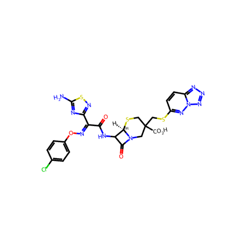 Nc1nc(C(=NOc2ccc(Cl)cc2)C(=O)NC2C(=O)N3CC(CSc4ccc5nnnn5n4)(C(=O)O)CS[C@H]23)ns1